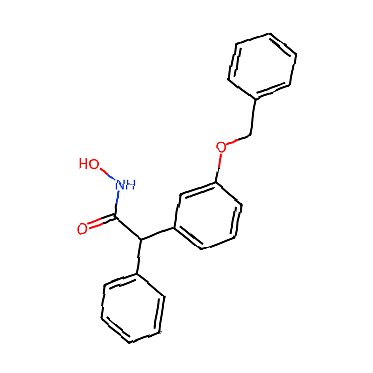 O=C(NO)C(c1ccccc1)c1cccc(OCc2ccccc2)c1